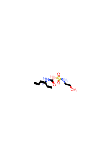 C=C/C=C(\C=C)NC(=O)BS(=O)(=O)NCCO